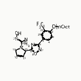 CCCCCCCCOc1ccc(-c2noc(C3C=CCN3/C(N)=N/O)n2)cc1C(F)(F)F